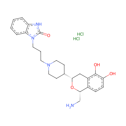 Cl.Cl.NC[C@@H]1O[C@H](C2CCN(CCCn3c(=O)[nH]c4ccccc43)CC2)Cc2c1ccc(O)c2O